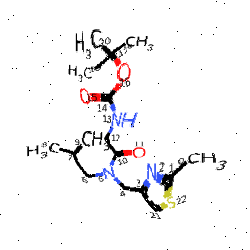 Cc1nc(CN(CC(C)C)C(=O)CNC(=O)OC(C)(C)C)cs1